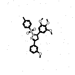 COc1cccc(C2=NN(S(=O)(=O)c3ccc(C)cc3)C(c3cc(OC)c(OC)c(OC)c3)C2)c1